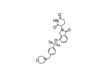 [2H]C([2H])(Oc1cccc2c1CN(C1CCC(=O)NC1=O)C2=O)c1ccc(CN2CCOCC2)cc1